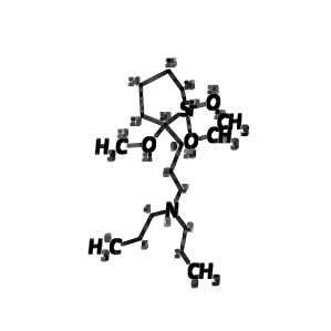 CCCN(CCC)CCCC1(OC)CCCC[Si]1(OC)OC